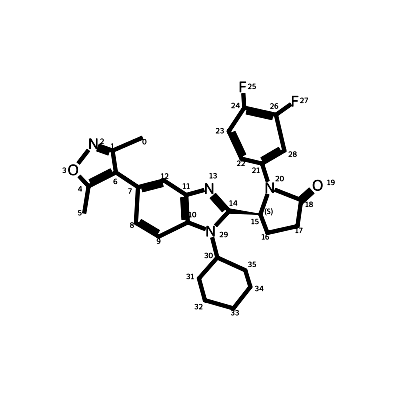 Cc1noc(C)c1-c1ccc2c(c1)nc([C@@H]1CCC(=O)N1c1ccc(F)c(F)c1)n2C1CCCCC1